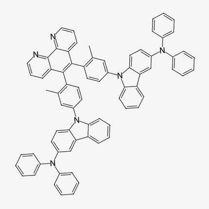 Cc1cc(-n2c3ccccc3c3cc(N(c4ccccc4)c4ccccc4)ccc32)ccc1-c1c(-c2ccc(-n3c4ccccc4c4cc(N(c5ccccc5)c5ccccc5)ccc43)cc2C)c2cccnc2c2ncccc12